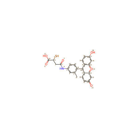 Cc1cc(NC(=O)CC(S)C(=O)O)ccc1-c1c2ccc(=O)cc-2oc2cc(O)ccc12